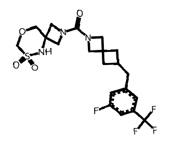 O=C(N1CC2(CC(Cc3cc(F)cc(C(F)(F)F)c3)C2)C1)N1CC2(COCS(=O)(=O)N2)C1